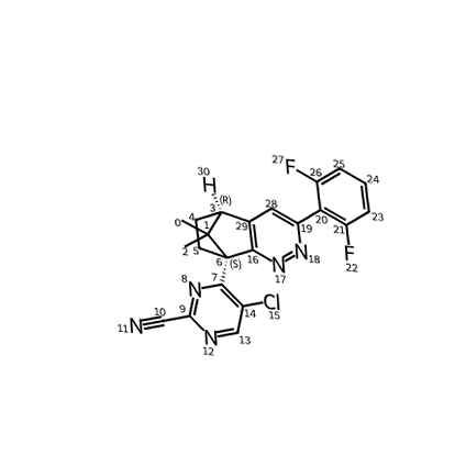 CC1(C)[C@H]2CC[C@]1(c1nc(C#N)ncc1Cl)c1nnc(-c3c(F)cccc3F)cc12